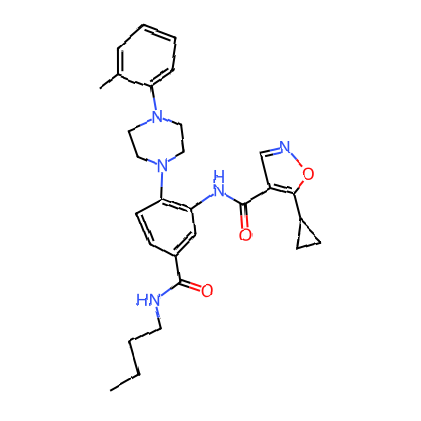 CCCCNC(=O)c1ccc(N2CCN(c3ccccc3C)CC2)c(NC(=O)c2cnoc2C2CC2)c1